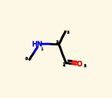 CNC(C)[C]=O